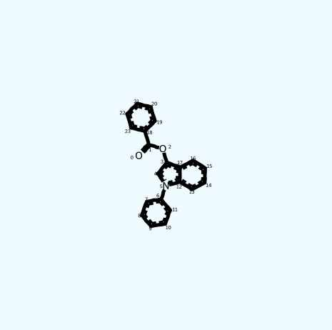 O=C(Oc1cn(-c2ccccc2)c2ccccc12)c1ccccc1